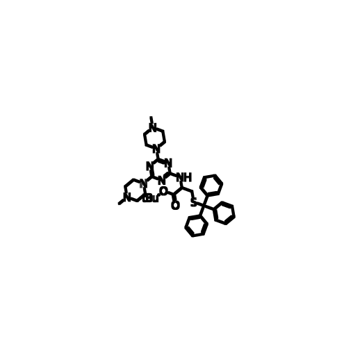 CN1CCN(c2nc(NC(CSC(c3ccccc3)(c3ccccc3)c3ccccc3)C(=O)OC(C)(C)C)nc(N3CCN(C)CC3)n2)CC1